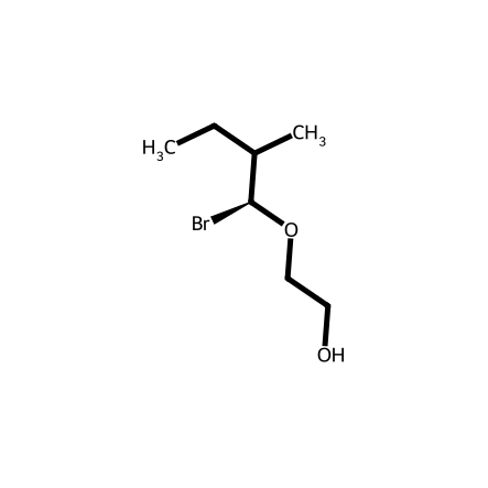 CCC(C)[C@H](Br)OCCO